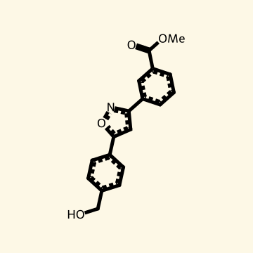 COC(=O)c1cccc(-c2cc(-c3ccc(CO)cc3)on2)c1